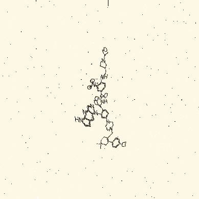 CC1(C)CCC(CN2CCN(c3ccc(C(=O)NS(=O)(=O)c4ccc(NCC5CCN(C6COC6)C5)c([N+](=O)[O-])c4)c(-n4ncc5nc6[nH]ccc6cc54)c3)CC2)=C(c2ccc(Cl)cc2)C1